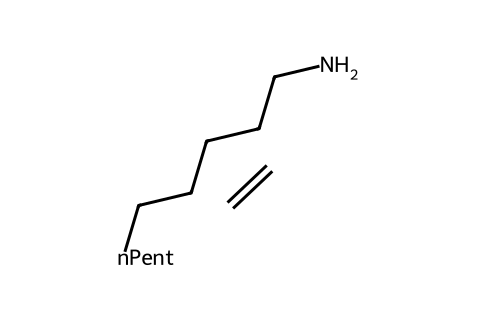 C=C.CCCCCCCCCCN